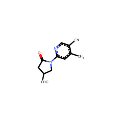 Cc1cc(N2CC(C=O)CC2=O)ncc1C#N